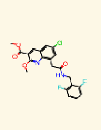 COC(=O)c1cc2cc(Cl)cc(CC(=O)NCc3c(F)cccc3F)c2nc1OC